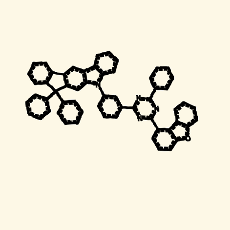 c1ccc(-c2nc(-c3cccc(-n4c5ccccc5c5cc6c(cc54)C(c4ccccc4)(c4ccccc4)c4ccccc4-6)c3)nc(-c3cccc4oc5ccccc5c34)n2)cc1